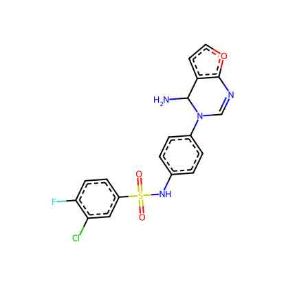 NC1c2ccoc2N=CN1c1ccc(NS(=O)(=O)c2ccc(F)c(Cl)c2)cc1